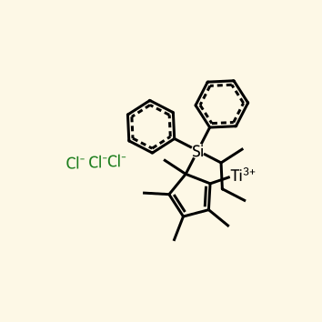 CCC(C)[Si](c1ccccc1)(c1ccccc1)C1(C)C(C)=C(C)C(C)=[C]1[Ti+3].[Cl-].[Cl-].[Cl-]